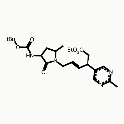 CCOC(=O)C[C@H](C=CCN1C(=O)C(NC(=O)OC(C)(C)C)CC1C)c1cnc(C)nc1